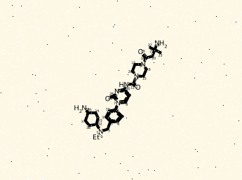 CCN(Cc1ccc(-n2ccc(NC(=O)N3CCN(C(=O)CC(C)(C)N)CC3)nc2=O)cc1)C1CCC(N)CC1